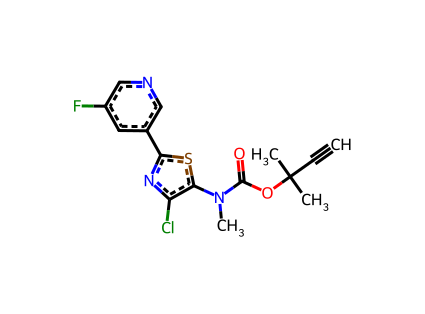 C#CC(C)(C)OC(=O)N(C)c1sc(-c2cncc(F)c2)nc1Cl